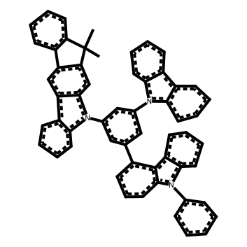 CC1(C)c2ccccc2-c2cc3c4ccccc4n(-c4cc(-c5cccc6c5c5ccccc5n6-c5ccccc5)cc(-n5c6ccccc6c6ccccc65)c4)c3cc21